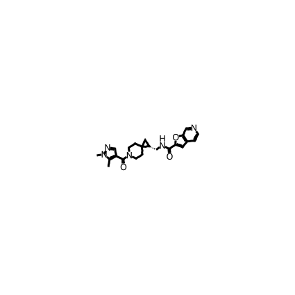 Cc1c(C(=O)N2CCC3(CC2)C[C@@H]3CNC(=O)c2cc3ccncc3o2)cnn1C